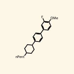 CCCCCC1CCC(c2ccc(-c3ccc(OC)c(F)c3)cc2)CC1